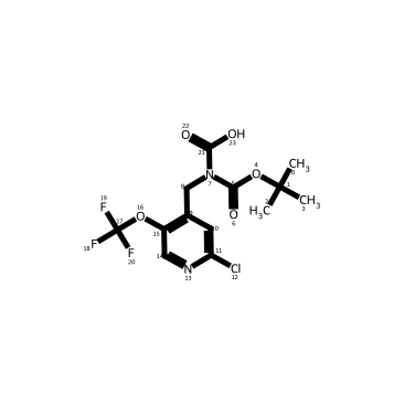 CC(C)(C)OC(=O)N(Cc1cc(Cl)ncc1OC(F)(F)F)C(=O)O